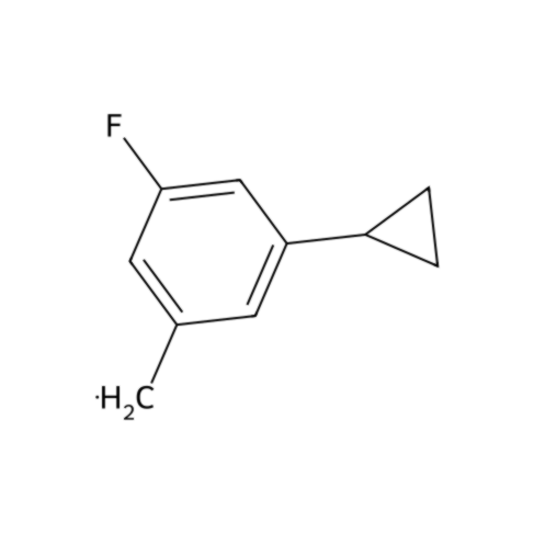 [CH2]c1cc(F)cc(C2CC2)c1